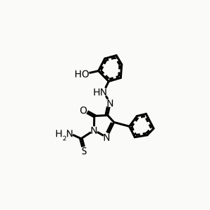 NC(=S)N1N=C(c2ccccc2)C(=NNc2ccccc2O)C1=O